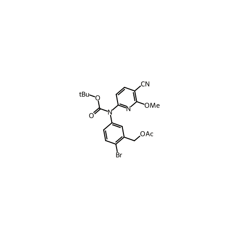 COc1nc(N(C(=O)OC(C)(C)C)c2ccc(Br)c(COC(C)=O)c2)ccc1C#N